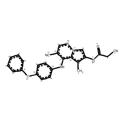 Cc1c(NC(=O)CC#N)cn2ncc(C#N)c(Nc3ccc(Oc4ccccc4)cc3)c12